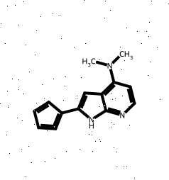 CN(C)c1ccnc2[nH]c(C3=C=CC=C3)cc12